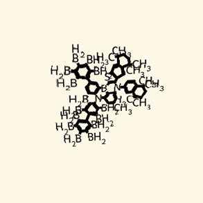 Bc1c(B)c(B)c(-c2ccc3c(c2)B2c4sc5cc6c(cc5c4N(c4ccc5c(c4)C(C)(C)CCC5(C)C)c4cc(C)cc(c42)N3c2c(B)c(B)c(-c3c(B)c(B)c(B)c(B)c3B)c(B)c2B)C(C)(C)CCC6(C)C)c(B)c1B